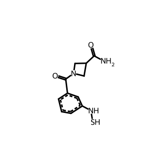 NC(=O)C1CN(C(=O)c2cccc(NS)c2)C1